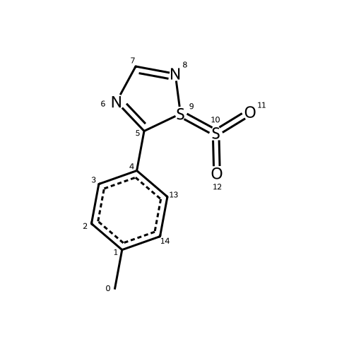 Cc1ccc(C2=NC=NS2=S(=O)=O)cc1